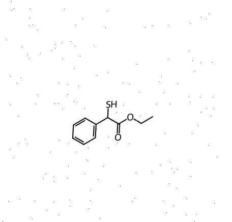 CCOC(=O)C(S)c1ccccc1